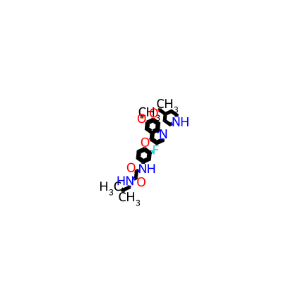 COc1cc2c(Oc3ccc(NC(=O)C(=O)NCC(C)C)cc3F)ccnc2cc1OC(C)C1CCNCC1